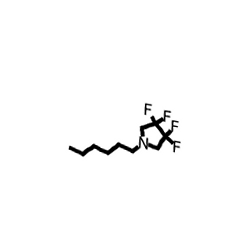 CCCCCCN1CC(F)(F)C(F)(F)C1